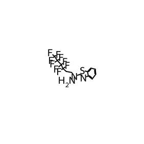 NN(CCC(F)(F)C(F)(F)C(F)(F)C(F)(F)F)c1nc2ccccc2s1